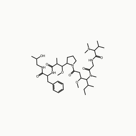 CCC(C)C(C(CC(=O)N1CCCC1C(OC)C(C)C(=O)NC(Cc1ccccc1)C(=O)NCC(C)O)OC)N(C)C(=O)CNC(=O)C(C(C)C)N(C)C